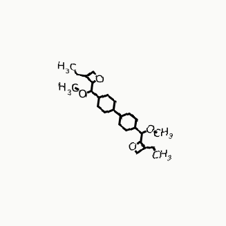 CCC1COC1C(OC)C1CCC(C2CCC(C(OC)C3OCC3CC)CC2)CC1